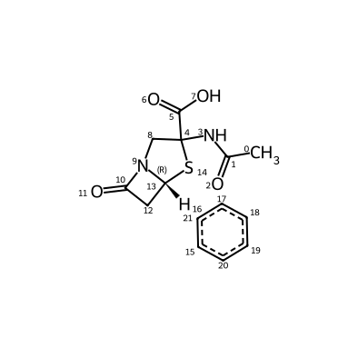 CC(=O)NC1(C(=O)O)CN2C(=O)C[C@H]2S1.c1ccccc1